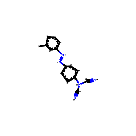 Cc1cccc(N=Nc2ccc(N(C#N)C#N)cc2)c1